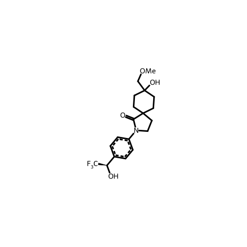 COCC1(O)CCC2(CCN(c3ccc([C@@H](O)C(F)(F)F)cc3)C2=O)CC1